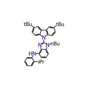 CCCCn1c(-n2c3ccc(C(C)(C)C)cc3c3cc(C(C)(C)C)ccc32)nc2c(Nc3ccccc3C(C)C)cccc21